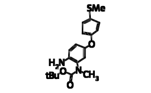 CSc1ccc(Oc2ccc(N)c(N(C)C(=O)OC(C)(C)C)c2)cc1